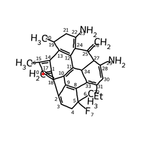 C=C1C2=CCC(C)(F)C3=C2C2=C4C5=C(/C1=C(C)/C=C\2)C(C)CC(N)=C5C(=C)C1C(N)=CC(CC)=C3C41